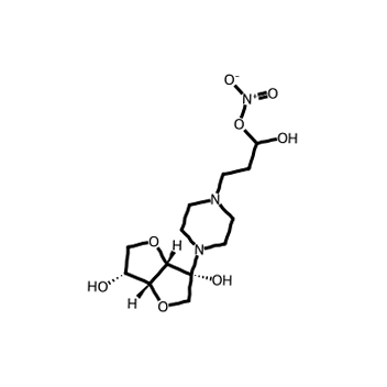 O=[N+]([O-])OC(O)CCN1CCN([C@@]2(O)CO[C@@H]3[C@H](O)CO[C@@H]32)CC1